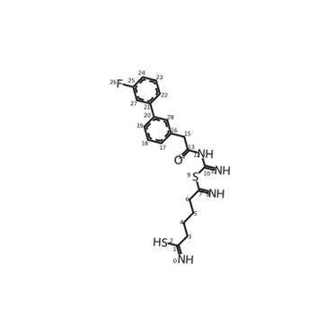 N=C(S)CCCCC(=N)SC(=N)NC(=O)Cc1cccc(-c2cccc(F)c2)c1